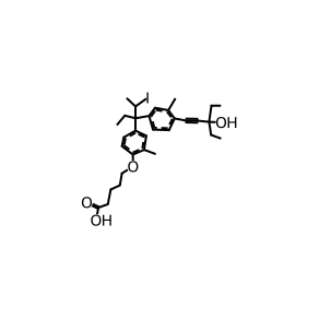 CCC(O)(C#Cc1ccc(C(CC)(c2ccc(OCCCCC(=O)O)c(C)c2)C(C)I)cc1C)CC